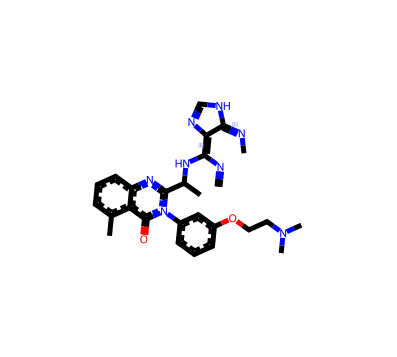 C=N/C(NC(C)c1nc2cccc(C)c2c(=O)n1-c1cccc(OCCN(C)C)c1)=C1/N=CN/C1=N/C